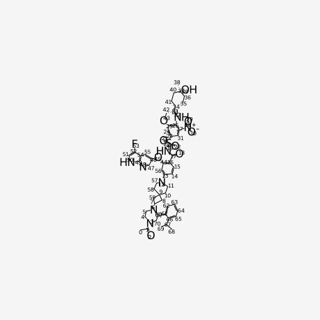 CC(=O)N1CCN(C2CC3(CCN(c4ccc(C(=O)NS(=O)(=O)c5cc6c(c([N+](=O)[O-])c5)N[C@@H]([C@H]5CC[C@](C)(O)CC5)CO6)c(Oc5cnc6[nH]cc(F)c6c5)c4)CC3)C2)[C@@H](c2ccccc2C(C)C)C1